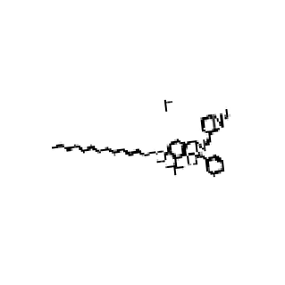 CCCCCCCCCCCCCCOc1ccc(CN(Cc2ccc[n+](CC)c2)C(=O)c2ccccc2)cc1C(C)(C)C.[I-]